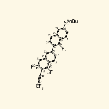 CCCCSc1ccc2c(F)c(-c3ccc4c(F)c(C#CC(F)(F)F)c(F)cc4c3)ccc2c1